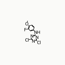 COc1ccc(Nc2nc(Cl)nc(Cl)n2)cc1F